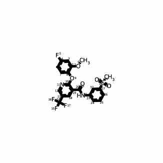 COc1cc(F)ccc1Oc1ncc(C(F)(F)F)cc1C(=O)Nc1cccc(S(C)(=O)=O)c1